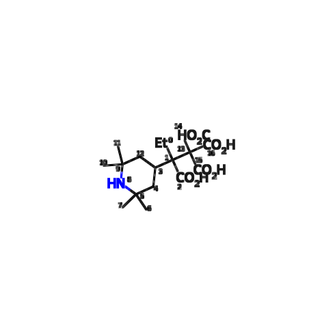 CCC(C(=O)O)(C1CC(C)(C)NC(C)(C)C1)C(C(=O)O)(C(=O)O)C(=O)O